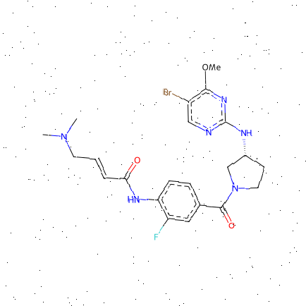 COc1nc(N[C@@H]2CCN(C(=O)c3ccc(NC(=O)/C=C/CN(C)C)c(F)c3)C2)ncc1Br